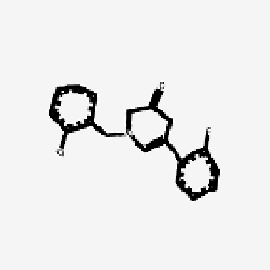 O=C1CC(c2ccccc2F)=CN(Cc2ccccc2Cl)C1